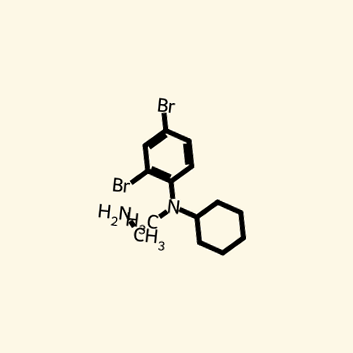 CN.CN(c1ccc(Br)cc1Br)C1CCCCC1